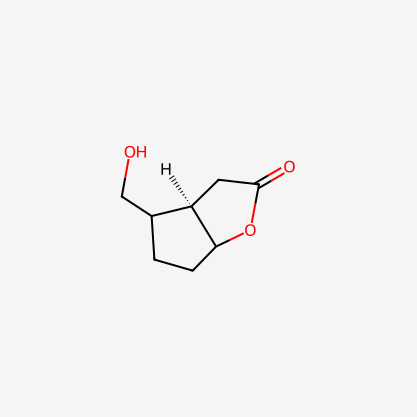 O=C1C[C@@H]2C(CO)CCC2O1